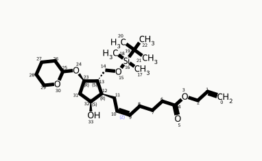 C=CCOC(=O)CCC/C=C\C[C@@H]1[C@@H](CO[Si](C)(C)C(C)(C)C)[C@H](OC2CCCCO2)C[C@@H]1O